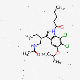 CCCCC(=O)n1cc(C(CC)CNC(C)=O)c2cc(OC(C)C)c(Cl)c(Cl)c21